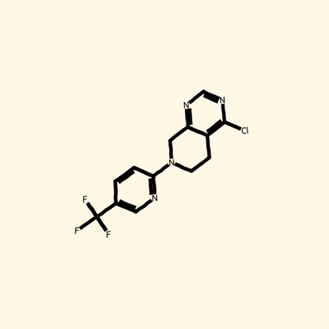 FC(F)(F)c1ccc(N2CCc3c(Cl)ncnc3C2)nc1